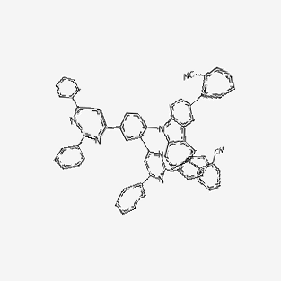 N#Cc1ccccc1-c1ccc2c(c1)c1cc(-c3ccccc3C#N)ccc1n2-c1ccc(-c2cc(-c3ccccc3)nc(-c3ccccc3)n2)cc1-c1cc(-c2ccccc2)nc(-c2ccccc2)n1